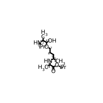 CC(C)NC(C)C(O)OCCCC(C)NC(C)C(=O)OC(C)C